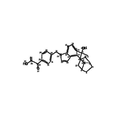 CC(C)(O)CN1C2CCC1CC(c1ccnc3c1ccn3Cc1ccc(C(=O)NO)cc1)C2